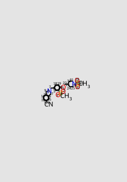 CS(=O)(=O)c1cc(CN2Cc3ccc(C#N)cc3C2)ccc1OCC1CCN(S(C)(=O)=O)CC1